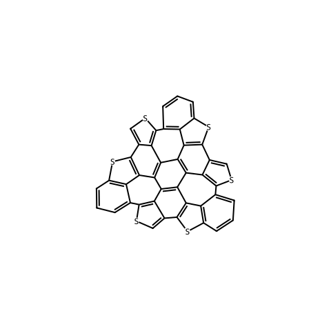 c1cc2sc3c4csc5c6cccc7sc8c9csc%10c%11cccc%12sc%13c%14csc%15c(c1)c2c3c1c(c45)c(c8c76)c(c9%10)c(c%13c%12%11)c1c%14%15